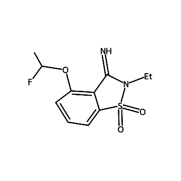 CCN1C(=N)c2c(OC(C)F)cccc2S1(=O)=O